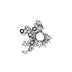 CCCNC[C@]1(O)[C@H](C)O[C@@H](O[C@H]2[C@H](C)[C@@H](O[C@@H]3O[C@H](C)C[C@H](N(C)C(=O)N(C)c4ccccc4)[C@H]3Oc3ccc(OC)c(OC(C)C)c3)[C@](C)(O)C[C@@H](C)CN[C@H](C)[C@@H](O)[C@](C)(O)[C@@H](CC)OC(=O)[C@@H]2C)C[C@@]1(C)OC